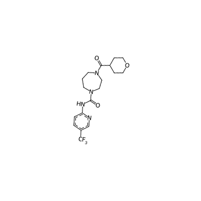 O=C(Nc1ccc(C(F)(F)F)cn1)N1CCCN(C(=O)C2CCOCC2)CC1